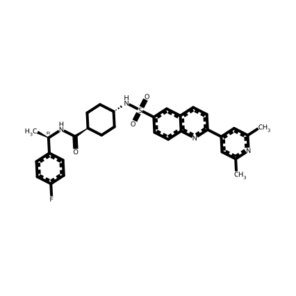 Cc1cc(-c2ccc3cc(S(=O)(=O)N[C@H]4CC[C@H](C(=O)N[C@H](C)c5ccc(F)cc5)CC4)ccc3n2)cc(C)n1